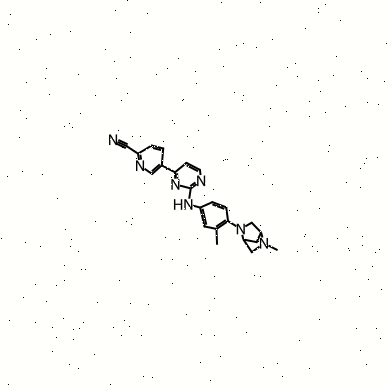 Cc1cc(Nc2nccc(-c3ccc(C#N)nc3)n2)ccc1N1CC2CC1CN2C